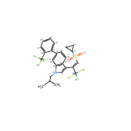 CC(C)Cn1cc(C(=CS(=O)(=O)C2CC2)C(F)(F)F)c2ccc(-c3ccccc3C(F)(F)F)cc21